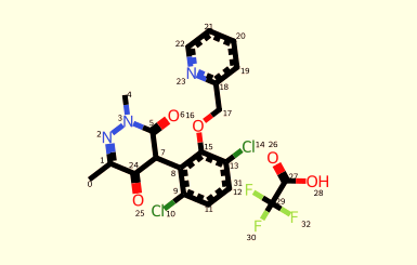 CC1=NN(C)C(=O)C(c2c(Cl)ccc(Cl)c2OCc2ccccn2)C1=O.O=C(O)C(F)(F)F